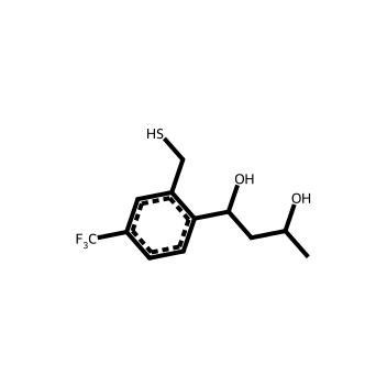 CC(O)CC(O)c1ccc(C(F)(F)F)cc1CS